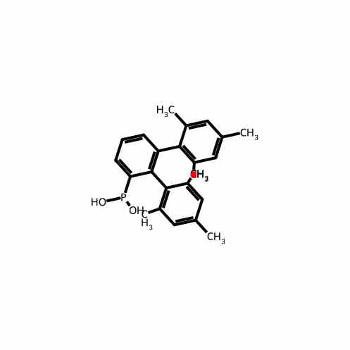 Cc1cc(C)c(-c2cccc(P(O)O)c2-c2c(C)cc(C)cc2C)c(C)c1